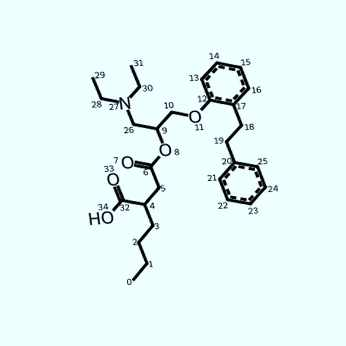 CCCCC(CC(=O)OC(COc1ccccc1CCc1ccccc1)CN(CC)CC)C(=O)O